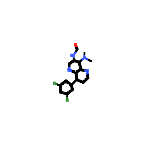 CN(C)c1c(NC=O)cnc2c(-c3cc(Cl)cc(Cl)c3)ccnc12